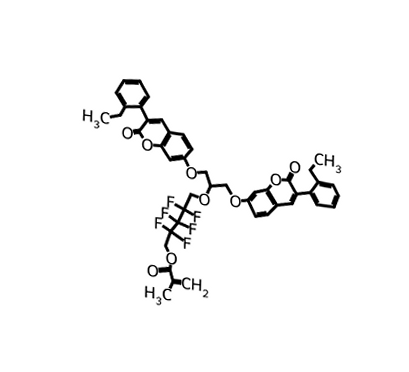 C=C(C)C(=O)OCC(F)(F)C(F)(F)C(F)(F)COC(COc1ccc2cc(-c3ccccc3CC)c(=O)oc2c1)COc1ccc2cc(-c3ccccc3CC)c(=O)oc2c1